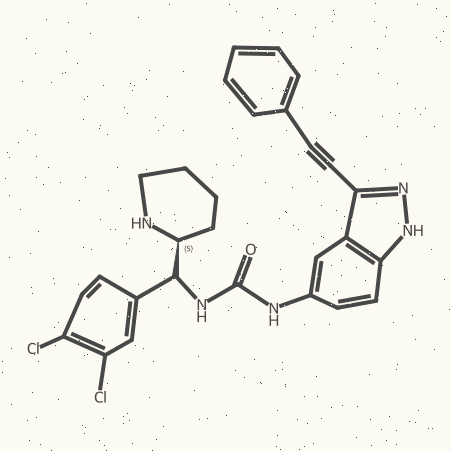 O=C(Nc1ccc2[nH]nc(C#Cc3ccccc3)c2c1)NC(c1ccc(Cl)c(Cl)c1)[C@@H]1CCCCN1